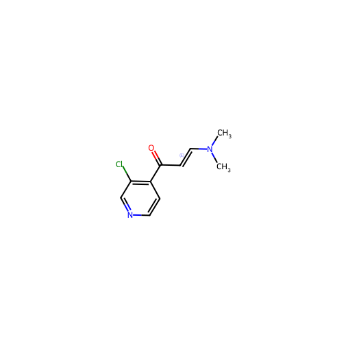 CN(C)/C=C/C(=O)c1ccncc1Cl